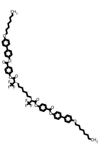 CCCCCCCCOc1ccc(-c2ccc(OC(=O)c3ccc(OC(=O)[C@H](CCCCCCC[C@@H](C(=O)Oc4ccc(C(=O)Oc5ccc(-c6ccc(OCCCCCCCC)cc6)cc5)cc4)C(F)(F)F)C(F)(F)F)cc3)cc2)cc1